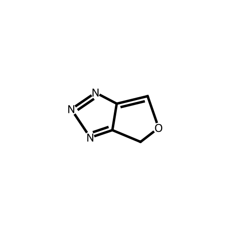 C1=C2N=NN=C2CO1